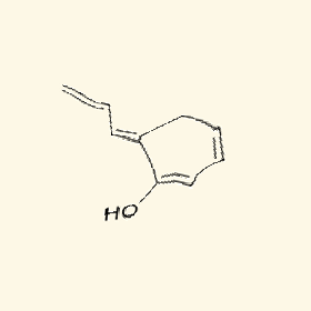 C=CC=C1CC=CC=C1O